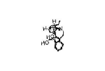 CC[C@H]1C[C@H]2C[N@]3CCc4c(n(CO)c5ccccc45)[C@](O)(C2)[C@H]13